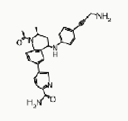 CC(=O)N1c2ccc(-c3ccc(C(N)=O)nc3)cc2[C@H](Nc2ccc(C#CCN)cc2)C[C@@H]1C